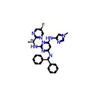 C[C@H](Nc1nc(N=C(c2ccccc2)c2ccccc2)cc(Nc2cn(C)cn2)n1)c1ncc(F)cn1